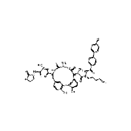 C[C@H](NC(=O)[C@@H]1Cc2ccc(O)c(c2)-c2cc(ccc2O)[C@H](N(C)C(=O)[C@H](CCCCN)NC(=O)c2ccc(-c3ccc(Cl)cc3)cc2)C(=O)N[C@@H](C)C(=O)N1)C(=O)N[C@@H]1CCNC1=O